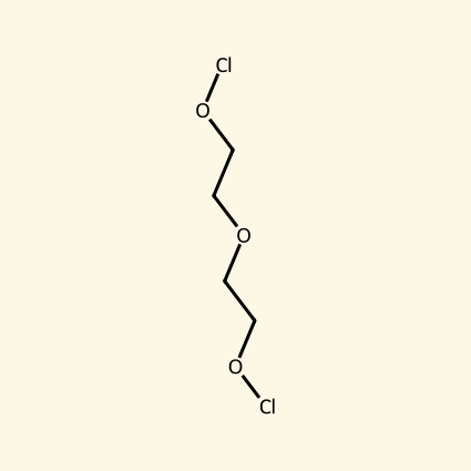 ClOCCOCCOCl